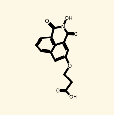 O=C(O)CCOc1cc2c3c(cccc3c1)C(=O)N(O)C2=O